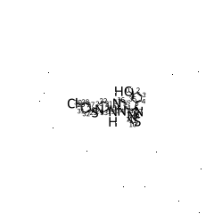 Oc1cccc(-c2nc3sccn3c2-c2ccnc(N[C@@H]3CCCN(Sc4ccc(Cl)cc4)C3)n2)c1